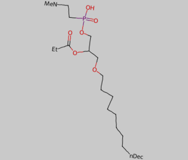 CCCCCCCCCCCCCCCCCCOCC(COP(=O)(O)CCNC)OC(=O)CC